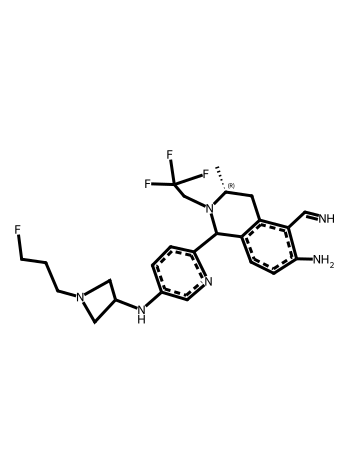 C[C@@H]1Cc2c(ccc(N)c2C=N)C(c2ccc(NC3CN(CCCF)C3)cn2)N1CC(F)(F)F